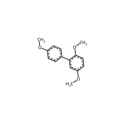 COc1ccc(-c2cc(OC)ccc2OC)cc1